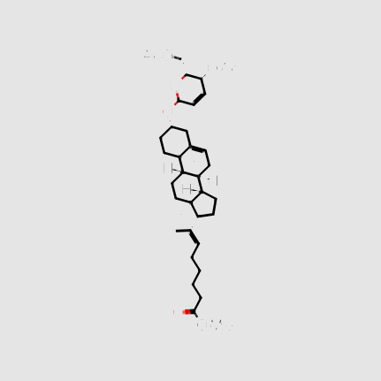 COC(=O)CCCC/C=C(\C)[C@H]1CC[C@H]2[C@@H]3CC=C4C[C@@H](OC5C=C[C@H](OC(C)=O)[C@@H](COC(C)=O)O5)CC[C@]4(C)[C@H]3CC[C@]12C